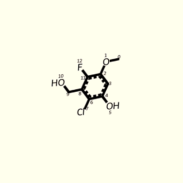 COc1cc(O)c(Cl)c(CO)c1F